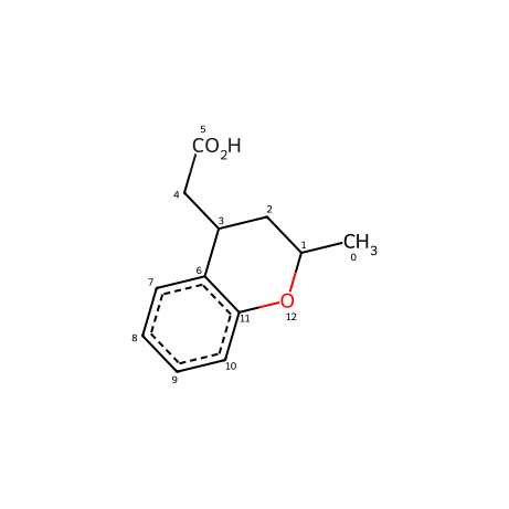 CC1CC(CC(=O)O)c2ccccc2O1